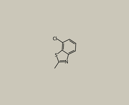 Cc1nc2cccc(Cl)c2s1